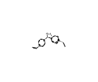 C=Cc1ccc(C([SiH3])c2ccc(C=C)cc2)cc1